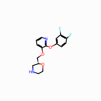 Fc1ccc(Oc2ncccc2OC[C@@H]2CNCCO2)cc1F